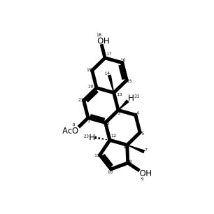 CC(=O)OC1=C2[C@@H](CC[C@]3(C)C(O)C=C[C@@H]23)[C@@]2(C)C=CC(O)CC2=C1